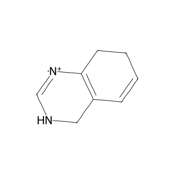 C1=CC2=C(CC1)[N+]=CNC2